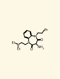 CCN(CC)CCN1C(=O)C(N)C(=O)N(CCC(C)C)c2ccccc21